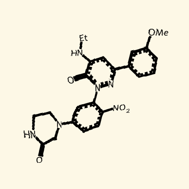 CCNc1cc(-c2cccc(OC)c2)nn(-c2cc(N3CCNC(=O)C3)ccc2[N+](=O)[O-])c1=O